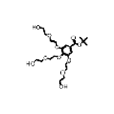 CC(C)(C)OC(=O)c1cc(OCCOCCO)c(OCCOCCO)c(OCCOCCO)c1